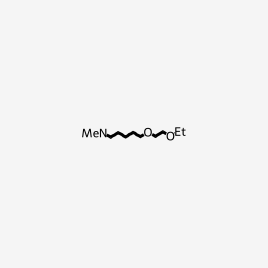 CCOCCOCCCCCNC